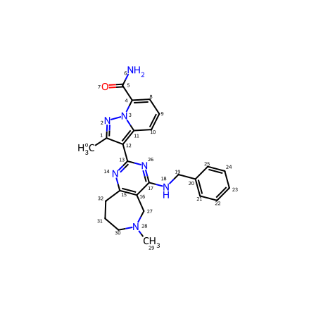 Cc1nn2c(C(N)=O)cccc2c1-c1nc2c(c(NCc3ccccc3)n1)CN(C)CCC2